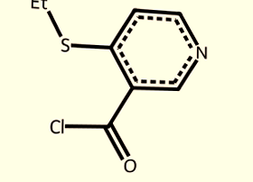 CCSc1ccncc1C(=O)Cl